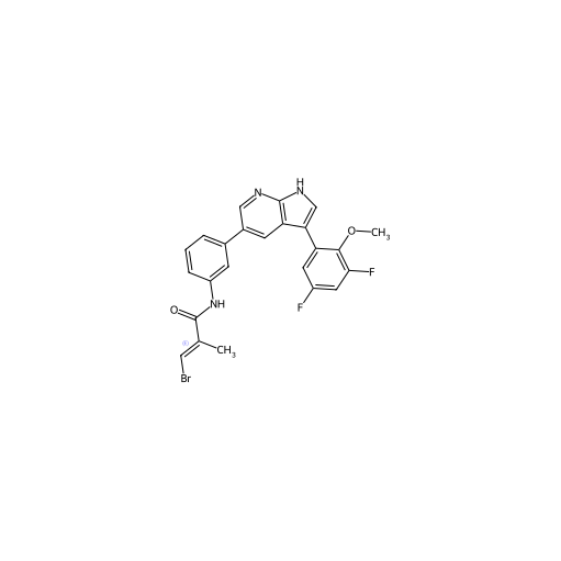 COc1c(F)cc(F)cc1-c1c[nH]c2ncc(-c3cccc(NC(=O)/C(C)=C/Br)c3)cc12